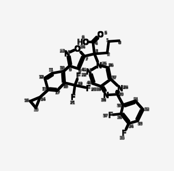 CCCC(C(=O)O)(c1cc(-c2ccc(C3CC3)cc2C(F)(F)F)no1)n1cc2nc(-c3cccc(F)c3F)nc-2cn1